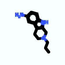 CCCN1CCc2c([nH]c3ccc(N)cc23)C1